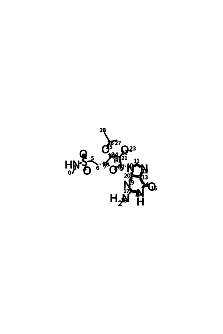 CNS(=O)(=O)CC[C@H]1O[C@@H](n2cnc3c(=O)[nH]c(N)nc32)[C@H](OC)[C@@H]1OC(C)C